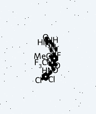 COc1c(N2C[C@@H](C)N(Cc3n[nH]c(=O)[nH]3)[C@@H](C)C2)c(F)cc2c(=O)c(C(=O)NCc3ccc(Cl)cc3Cl)cn(CC(F)(F)F)c12